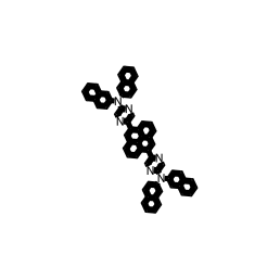 c1ccc2cc(N(c3ccc4ccccc4c3)c3cnc(-c4cc5cccc6c(-c7cnc(N(c8ccc9ccccc9c8)c8ccc9ccccc9c8)cn7)cc7cccc4c7c56)cn3)ccc2c1